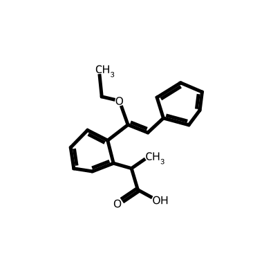 CCOC(=Cc1ccccc1)c1ccccc1C(C)C(=O)O